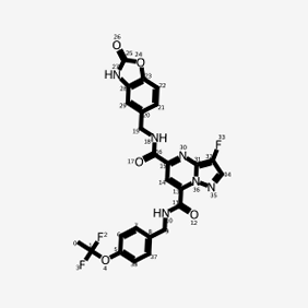 CC(F)(F)Oc1ccc(CNC(=O)c2cc(C(=O)NCc3ccc4oc(=O)[nH]c4c3)nc3c(F)cnn23)cc1